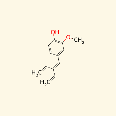 C=CC(C=C)=Cc1ccc(O)c(OC)c1